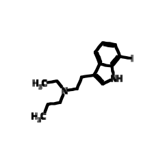 CCCN(CC)CCc1c[nH]c2c(I)cccc12